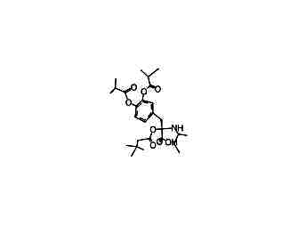 CCC(C)N[C@@](Cc1ccc(OC(=O)C(C)C)c(OC(=O)C(C)C)c1)(OC(=O)CC(C)(C)C)C(=O)O